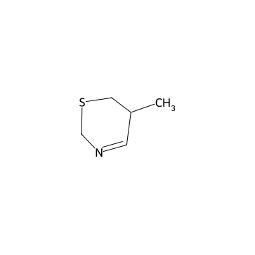 CC1C=NCSC1